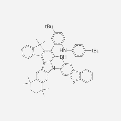 CC(C)(C)c1ccc(Nc2ccc(C(C)(C)C)cc2-c2c3c(c4c5cc6c(cc5n5c4c2Bc2cc4c(cc2-5)sc2ccccc24)C(C)(C)CCC6(C)C)-c2ccccc2C3(C)C)cc1